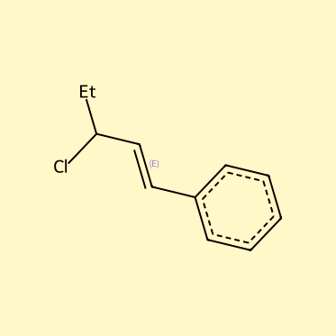 CCC(Cl)/C=C/c1ccccc1